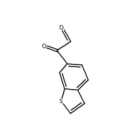 O=CC(=O)c1ccc2ccsc2c1